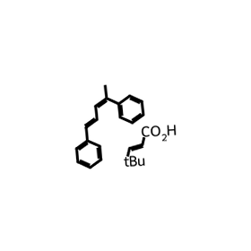 CC(=CC=Cc1ccccc1)c1ccccc1.CC(C)(C)C=CC(=O)O